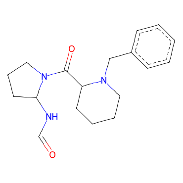 O=CNC1CCCN1C(=O)C1CCCCN1Cc1ccccc1